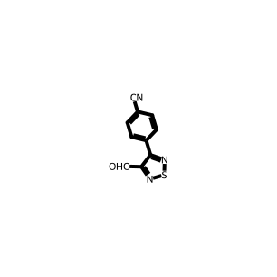 N#Cc1ccc(-c2nsnc2C=O)cc1